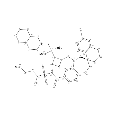 CCCC[C@@](CN1CCN2CCCCC2C1)(OC)C1CCC1CN1C[C@@]2(CCCc3cc(Cl)ccc32)COc2ccc(C(=O)NS(=O)(=O)C(C)CCOC)cc21